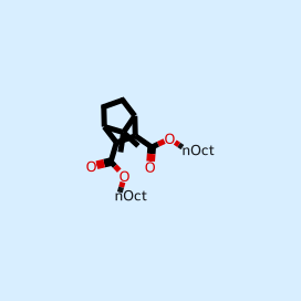 CCCCCCCCOC(=O)C1C(C(=O)OCCCCCCCC)C2CCC1C2(C)C